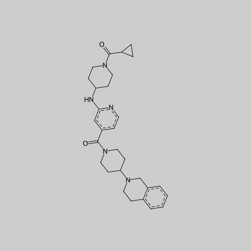 O=C(c1ccnc(NC2CCN(C(=O)C3CC3)CC2)c1)N1CCC(N2CCc3ccccc3C2)CC1